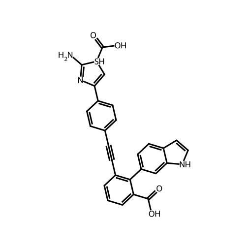 NC1=NC(c2ccc(C#Cc3cccc(C(=O)O)c3-c3ccc4cc[nH]c4c3)cc2)=C[SH]1C(=O)O